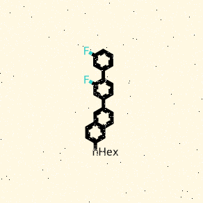 CCCCCCc1ccc2cc(-c3ccc(-c4cccc(F)c4)c(F)c3)ccc2c1